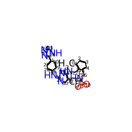 Cc1cccc(CN[SH](=O)=O)c1CNc1nc(Nc2ccc(-c3nnn[nH]3)cc2)ncc1C(F)(F)F